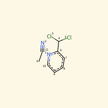 CC#N.ClC(Cl)c1ccccn1